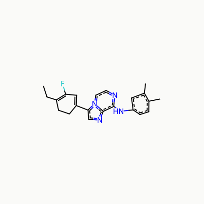 CCC1=C(F)C=C(c2cnc3c(Nc4ccc(C)c(C)c4)nccn23)CC1